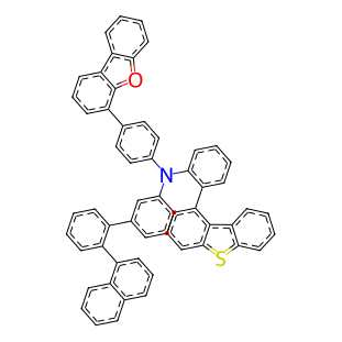 c1cc(-c2ccccc2-c2cccc3ccccc23)cc(N(c2ccc(-c3cccc4c3oc3ccccc34)cc2)c2ccccc2-c2cccc3sc4ccccc4c23)c1